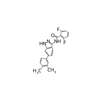 Cc1ccc(-c2ccc3c(NC(=O)c4c(F)cccc4F)n[nH]c3c2)cc1C